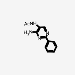 CC(=O)Nc1cnc(-c2ccccc2)nc1N